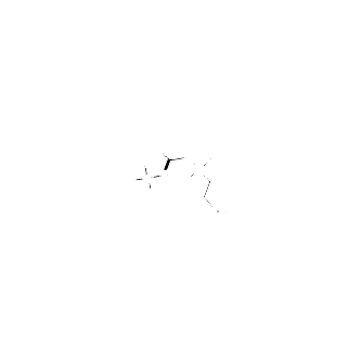 CCCCCCCCC[Si](C)(C)OC(C)=N[Si](C)(C)C